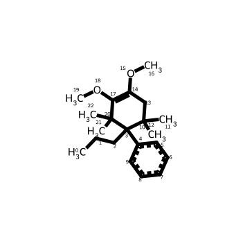 CCCC1(c2ccccc2)C(C)(C)CC(OC)=C(OC)C1(C)C